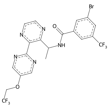 CC(NC(=O)c1cc(Br)cc(C(F)(F)F)c1)c1nccnc1-c1ncc(OCC(F)(F)F)cn1